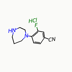 Cl.N#Cc1ccc(N2CCCNCC2)c(F)c1